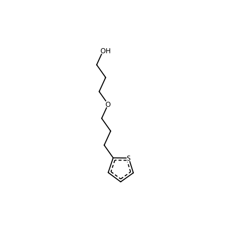 OCCCOCCCc1cccs1